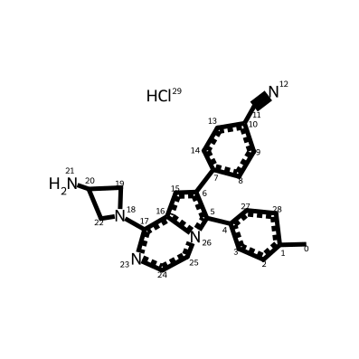 Cc1ccc(-c2c(-c3ccc(C#N)cc3)cc3c(N4CC(N)C4)nccn23)cc1.Cl